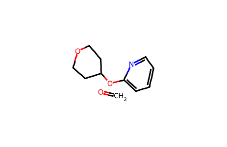 C=O.c1ccc(OC2CCOCC2)nc1